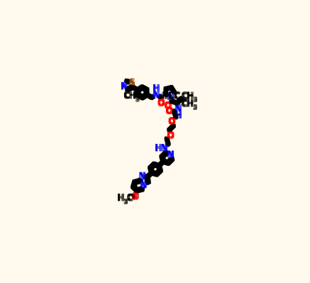 COc1ccc2nc(-c3ccc(-c4ccnc(NCCOCCOCC(=O)NC(C(=O)N5CCC[C@H]5C(=O)NCc5ccc(-c6scnc6C)cc5)C(C)(C)C)c4)cc3)cn2c1